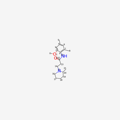 COc1cc(C)cc(C)c1NC(=O)CCN1CCCCC1C